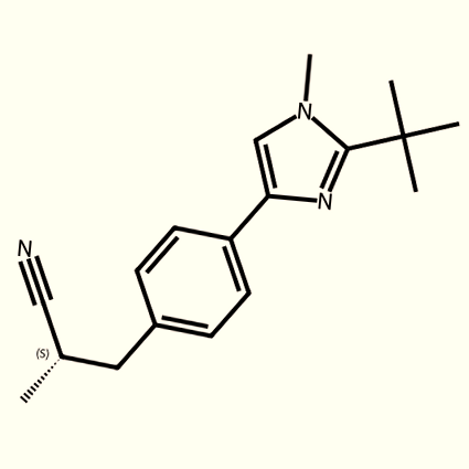 C[C@H](C#N)Cc1ccc(-c2cn(C)c(C(C)(C)C)n2)cc1